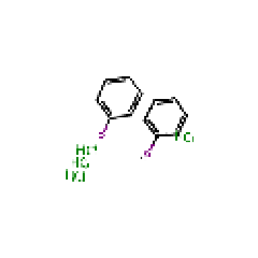 Cl.Cl.Cl.Cl.[P]c1ccccc1.[P]c1ccccc1